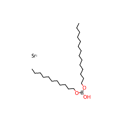 CCCCCCCCCCCCCCOB(O)OCCCCCCCCCCC.[Sr]